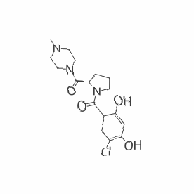 CN1CCN(C(=O)[C@H]2CCCN2C(=O)C2CC(Cl)=C(O)C=C2O)CC1